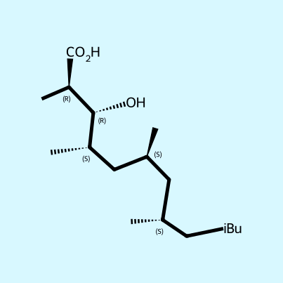 CCC(C)C[C@H](C)C[C@H](C)C[C@H](C)[C@@H](O)[C@@H](C)C(=O)O